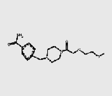 COCCOCC(=O)N1CCN(Cc2ccc(C(N)=O)cc2)CC1